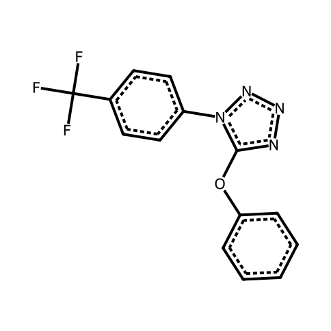 FC(F)(F)c1ccc(-n2nnnc2Oc2ccccc2)cc1